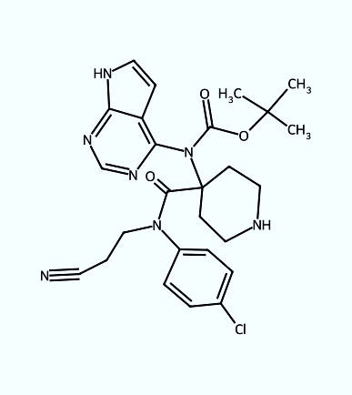 CC(C)(C)OC(=O)N(c1ncnc2[nH]ccc12)C1(C(=O)N(CCC#N)c2ccc(Cl)cc2)CCNCC1